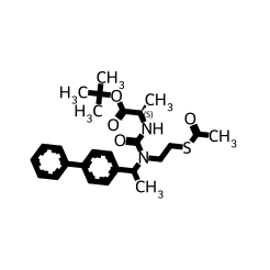 CC(=O)SCCN(C(=O)N[C@@H](C)C(=O)OC(C)(C)C)C(C)c1ccc(-c2ccccc2)cc1